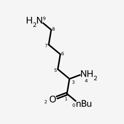 CCCCC(=O)C(N)CCCCN